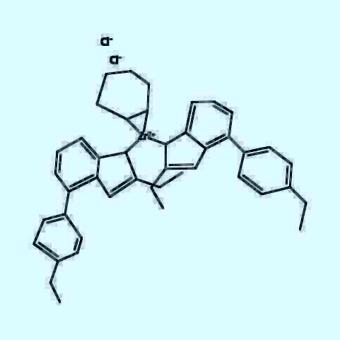 CCC1=Cc2c(-c3ccc(CC)cc3)cccc2[CH]1[Zr+2]1([CH]2C(CC)=Cc3c(-c4ccc(CC)cc4)cccc32)[CH]2CCCC[CH]21.[Cl-].[Cl-]